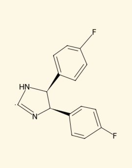 Fc1ccc([C@H]2N=[C]N[C@H]2c2ccc(F)cc2)cc1